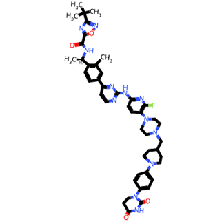 Cc1cc(-c2ccnc(Nc3ccc(N4CCN(CC5CCN(c6ccc(N7CCC(=O)NC7=O)cc6)CC5)CC4)c(F)n3)n2)ccc1[C@@H](C)NC(=O)c1nc(C(C)(C)C)no1